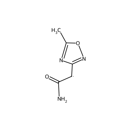 Cc1nc([CH]C(N)=O)no1